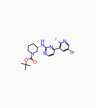 CC(C)(C)OC(=O)N1CCC[C@H](Nc2nccc(-c3cc(Br)cnc3F)n2)C1